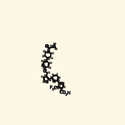 O=C(O)c1cnn(-c2cccc(-c3sccc3COc3ccc(C4CCN(C(=O)C5CC5)CC4)cn3)n2)c1C(F)(F)F